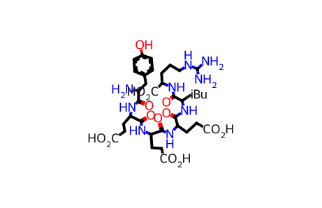 CCC(C)C(NC(=O)C(CCC(=O)O)NC(=O)C(CCC(=O)O)NC(=O)C(CCC(=O)O)NC(=O)C(N)Cc1ccc(O)cc1)C(=O)NC(CCCNC(N)N)C(=O)O